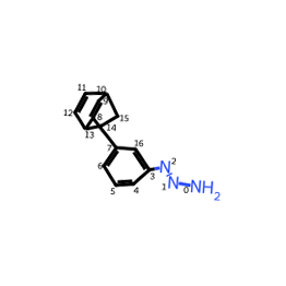 NN=Nc1cccc(C2=CC3C=CC2CC3)c1